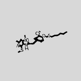 CCCCCCSCOc1ccc(CC(=O)Nc2c(SC)cc(C)nc2SC)cc1OC